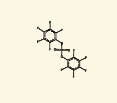 O=S(=O)(Oc1c(F)c(F)c(F)c(F)c1F)Oc1c(F)c(F)c(F)c(F)c1F